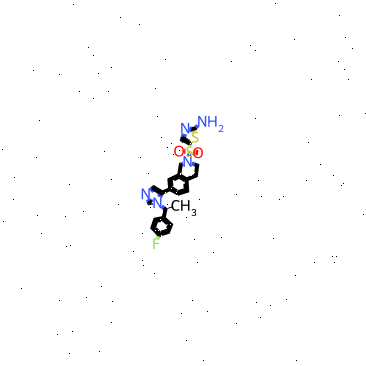 C[C@H](c1ccc(F)cc1)n1cncc1-c1ccc2c(c1)CN(S(=O)(=O)c1cnc(N)s1)CC2